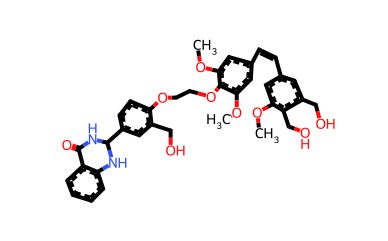 COc1cc(/C=C\c2cc(OC)c(OCCOc3ccc(C4NC(=O)c5ccccc5N4)cc3CO)c(OC)c2)cc(CO)c1CO